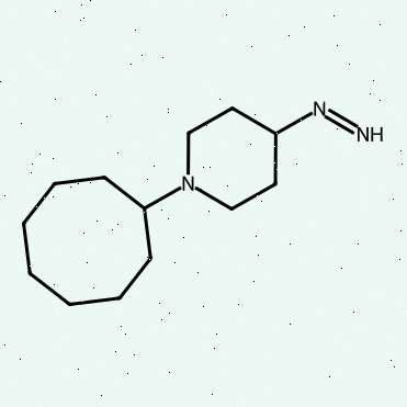 N=NC1CCN(C2CCCCCCC2)CC1